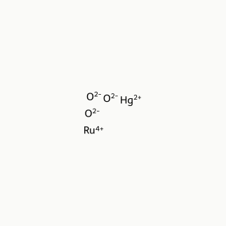 [Hg+2].[O-2].[O-2].[O-2].[Ru+4]